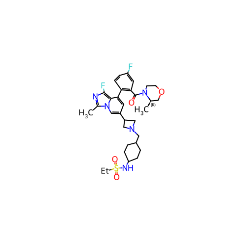 CCS(=O)(=O)NC1CCC(CN2CC(c3cc(-c4ccc(F)cc4C(=O)N4CCOC[C@H]4C)c4c(F)nc(C)n4c3)C2)CC1